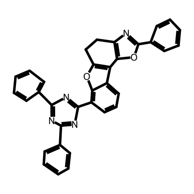 c1ccc(-c2nc(-c3ccccc3)nc(-c3cccc4c5c(oc34)CCc3nc(-c4ccccc4)oc3-5)n2)cc1